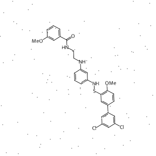 COc1cccc(C(=O)NCCNc2cccc(NSc3cc(-c4cc(Cl)cc(Cl)c4)ccc3OC)c2)c1